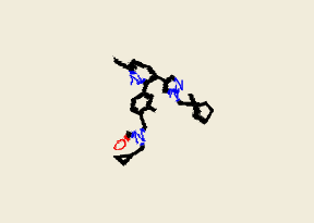 Cc1ccc(-c2cnn(CC3(C)CCCC3)c2)c(-c2ccc(CN(C=O)CC3CC3)c(C)c2)n1